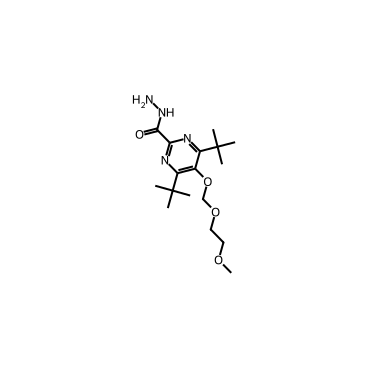 COCCOCOc1c(C(C)(C)C)nc(C(=O)NN)nc1C(C)(C)C